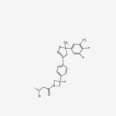 C[S+]([O-])CC(=O)N1CC(F)(c2ccc(C3=NOC(c4cc(F)c(F)c(C(F)(F)F)c4)(C(F)(F)F)C3)cc2)C1